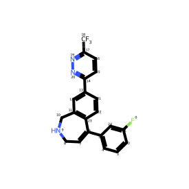 Fc1cccc(C2=CCNCc3cc(-c4ccc(C(F)(F)F)nn4)ccc32)c1